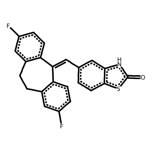 O=c1[nH]c2cc(C=C3c4ccc(F)cc4CCc4cc(F)ccc43)ccc2s1